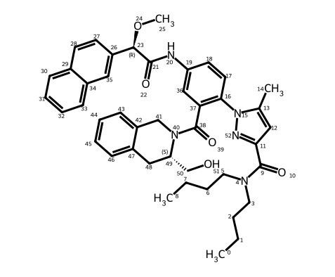 CCCCN(CCCC)C(=O)c1cc(C)n(-c2ccc(NC(=O)[C@H](OC)c3ccc4ccccc4c3)cc2C(=O)N2Cc3ccccc3C[C@H]2CO)n1